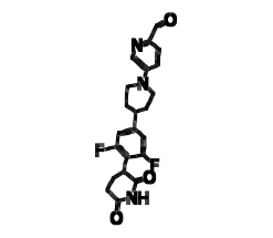 O=Cc1ccc(N2CCC(c3cc(F)c(C4CCC(=O)NC4=O)c(F)c3)CC2)cn1